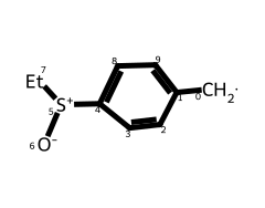 [CH2]c1ccc([S+]([O-])CC)cc1